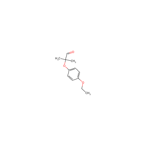 CCOc1ccc(OC(C)(C)C=O)cc1